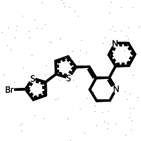 Brc1ccc(-c2ccc(/C=C3\CCCN=C3c3cccnc3)s2)s1